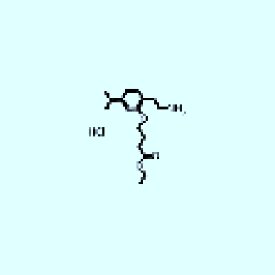 CCOC(=O)CCCOc1cc(C(C)C)ccc1CCN.Cl